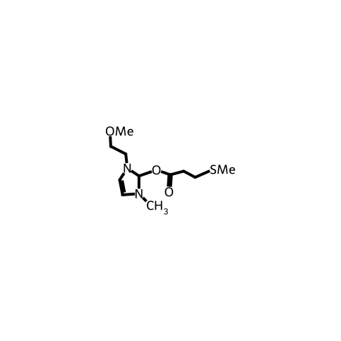 COCCN1C=CN(C)C1OC(=O)CCSC